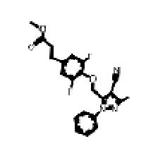 COC(=O)CCc1cc(F)c(OCc2c(C#N)c(C)nn2-c2ccccc2)c(F)c1